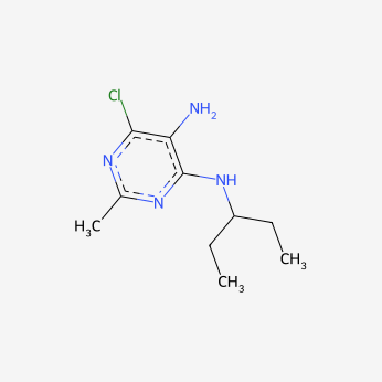 CCC(CC)Nc1nc(C)nc(Cl)c1N